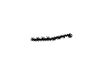 COC(C)(C)C/C=C/C(C)=C/C=C/C(C)=C/C=C/C(C)=C/C=C/C=C(C)/C=C/C=C(\C)CC/C=C(\C)CCC=C(C)C